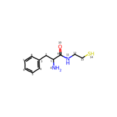 NC(Cc1ccccc1)C(=O)NCCS